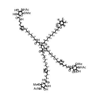 CO[C@@H]1O[C@H](C(=O)NCCCc2cn(CCOCCOCCNC(=O)CCC(CCC(=O)NCCOCCOCCn3cc(CCCNC(=O)[C@H]4O[C@@H](OC)[C@H](NC(C)=O)[C@@H](O)[C@H]4O)nn3)(CCC(=O)NCCOCCOCCn3cc(CCCNC(=O)[C@H]4O[C@@H](OC)[C@H](NC(C)=O)[C@@H](O)[C@H]4O)nn3)NC(=O)CCCCCCCCCCC(=O)Oc3c(F)c(F)c(F)c(F)c3F)nn2)[C@H](O)[C@H](O)[C@H]1NC(C)=O